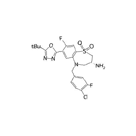 CC(C)(C)c1nnc(-c2cc3c(cc2F)S(=O)(=O)C[C@H](N)CN3Cc2ccc(Cl)c(F)c2)o1